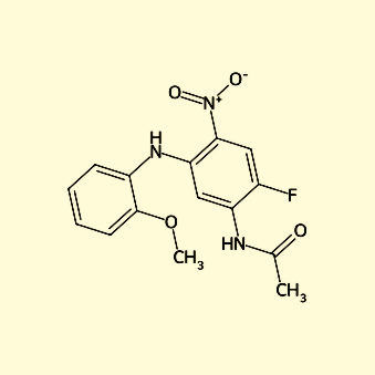 COc1ccccc1Nc1cc(NC(C)=O)c(F)cc1[N+](=O)[O-]